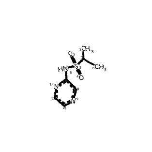 CC(C)S(=O)(=O)Nc1cnccn1